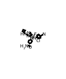 N#Cc1cc(F)c(Nc2nc3cnc(NC4CCC4)nc3n2[C@H]2CC[C@@H](C(N)=O)CC2)c(Cl)c1